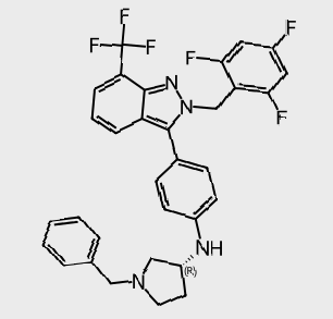 Fc1cc(F)c(Cn2nc3c(C(F)(F)F)cccc3c2-c2ccc(N[C@@H]3CCN(Cc4ccccc4)C3)cc2)c(F)c1